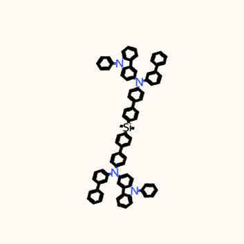 C[Si](C)(c1ccc(-c2ccc(N(c3cccc(-c4ccccc4)c3)c3ccc4c(c3)c3ccccc3n4-c3ccccc3)cc2)cc1)c1ccc(-c2ccc(N(c3cccc(-c4ccccc4)c3)c3ccc4c(c3)c3ccccc3n4-c3ccccc3)cc2)cc1